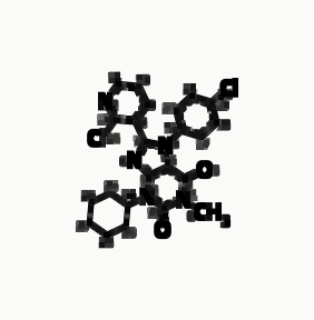 Cn1c(=O)c2c(nc(-c3cccnc3Cl)n2-c2ccc(Cl)cc2)n(C2CCCCC2)c1=O